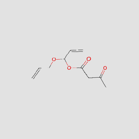 C=CCOC(C=C)OC(=O)CC(C)=O